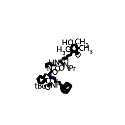 CC1=C(C)C(O)C(C)=C(CCCC[C@H](NC(=O)[C@@H]2CCCN2C(=O)[C@H](/C=C/[C@H](CCC23CC4CC(CC(C4)C2)C3)NC(=O)OC(C)(C)C)Cc2ccccc2)C(=O)NC(C)C)C1=O